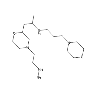 CC(C)NCCN1CCOC(CC(C)NCCCN2CCOCC2)C1